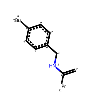 C=C(NCc1ccc(C(C)(C)C)cc1)C(C)C